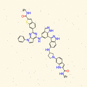 CC(C)NC(=O)c1cc2ccc(N3CCC(Nc4ccc5[nH]nc(-c6cc(Nc7nc(-c8ccc9cc(C(=O)NC(C)C)sc9c8)nc8c7ccn8-c7ccccc7)cc7cn[nH]c67)c5c4)C3)cc2[nH]1